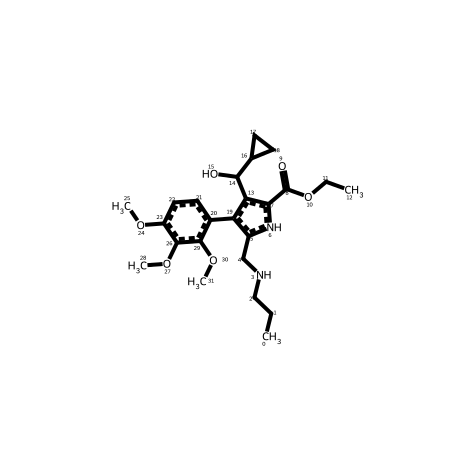 CCCNCc1[nH]c(C(=O)OCC)c(C(O)C2CC2)c1-c1ccc(OC)c(OC)c1OC